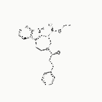 CCOC(=O)C1CN(C(=O)CCc2ccccc2)CCc2c1[nH]c1ccccc21